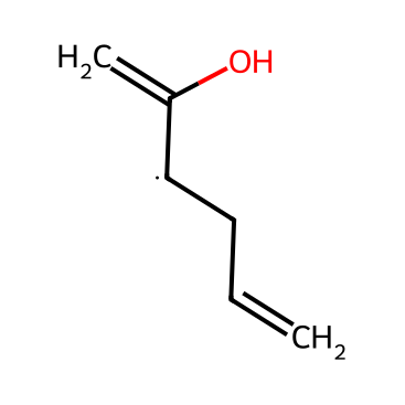 C=CC[CH]C(=C)O